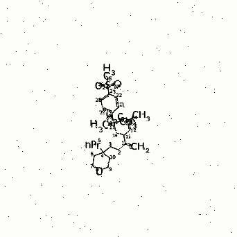 C=C(CCC1(CCC)CCOCC1)C(C=C(C)C)CC(C)(C)c1ccc(S(C)(=O)=O)cc1